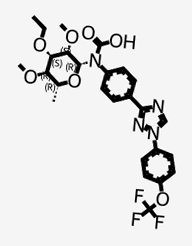 CCO[C@@H]1[C@H](OC)[C@H](N(C(=O)O)c2ccc(-c3ncn(-c4ccc(OC(F)(F)F)cc4)n3)cc2)O[C@H](C)[C@H]1OC